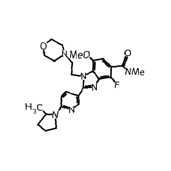 CNC(=O)c1cc(OC)c2c(nc(-c3ccc(N4CCCC4C)nc3)n2CCN2CCOCC2)c1F